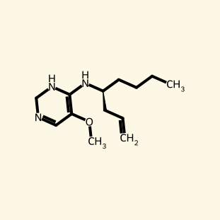 C=CC[C@H](CCCC)NC1=C(OC)C=NCN1